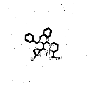 COC(c1nc(Br)cs1)C(C(=O)N1CCC[C@@H](C(=O)O)N1)N(Cc1ccccc1)Cc1ccccc1